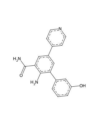 NC(=O)c1cc(-c2ccncc2)cc(-c2cccc(O)c2)c1N